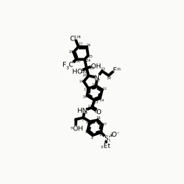 CC[S+]([O-])c1ccc(C(CO)NC(=O)c2ccc3c(c2)CC(C(O)(O)C2CC=C(Cl)C=C2C(F)(F)F)N3CCF)cc1